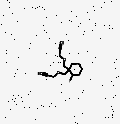 C#CCOCC1(COCC#C)CCCCC1I